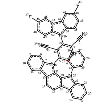 N#Cc1ccc(-n2c3ccccc3c3ccc4c5ccccc5n(-c5ccccc5)c4c32)c(C#N)c1-n1c2ccc(F)cc2c2cc(F)ccc21